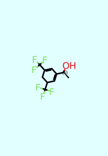 C[C@H](O)C1=CC(C(F)(F)F)CC(C(F)(F)F)=C1